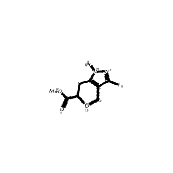 COC(=O)C1Cc2c(c(I)nn2C(C)C)CO1